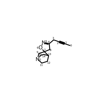 CC#CCC1=NOC2(C1)CN1CCC2CC1